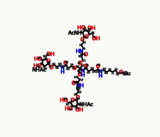 CC(=O)NC1[C@H](OCCCNC(=O)CCOCC(COCCC(=O)NCCCO[C@@H]2OC(CO)[C@H](O)[C@H](O)C2NC(C)=O)(COCCC(=O)NCCCO[C@@H]2OC(CO)[C@H](O)[C@H](O)C2NC(C)=O)NC(=O)CCCC(=O)NCCCCCCOC(C)(C)C)OC(CO)[C@H](O)[C@@H]1O